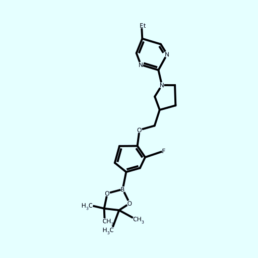 CCc1cnc(N2CCC(COc3ccc(B4OC(C)(C)C(C)(C)O4)cc3F)C2)nc1